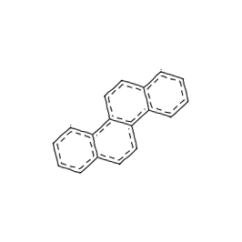 [c]1cccc2c1ccc1c3[c]cccc3ccc21